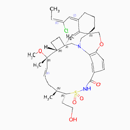 C=C1/C(=C\C(Cl)=C/C)CCC[C@]12COc1ccc3cc1N(C[C@@H]1CC[C@H]1[C@@](C)(OC)/C=C/C[C@H](C)[C@@H](CCO)S(=O)(=O)NC3=O)C2